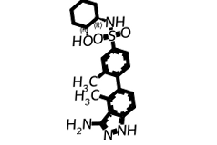 Cc1cc(S(=O)(=O)N[C@@H]2CCCC[C@H]2O)ccc1-c1ccc2[nH]nc(N)c2c1C